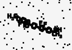 CCOc1ccc(OC(=O)C2CCC(c3ccc(-c4ccc(C(C)O)cc4)c(F)c3F)CC2)c(F)c1F